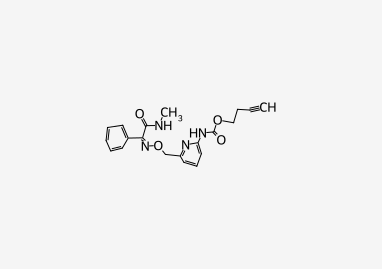 C#CCCOC(=O)Nc1cccc(CO/N=C(\C(=O)NC)c2ccccc2)n1